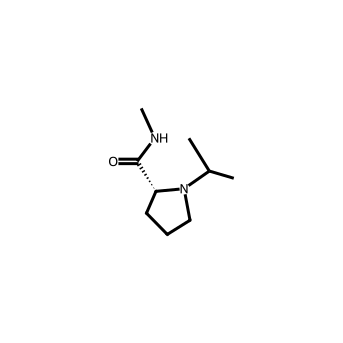 CNC(=O)[C@H]1CCCN1C(C)C